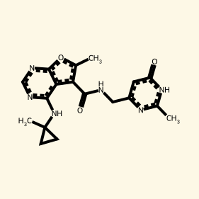 Cc1nc(CNC(=O)c2c(C)oc3ncnc(NC4(C)CC4)c23)cc(=O)[nH]1